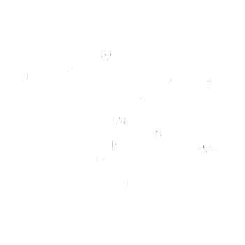 COc1cc(C(=O)NCC(O)(C=C(C)C)c2ccc(OC)c(-c3ccc(F)c(Cl)c3)n2)ccc1OCCF